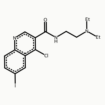 CCN(CC)CCNC(=O)c1cnc2ccc(I)cc2c1Cl